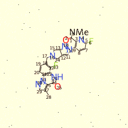 CNC(=O)c1nc(F)ccc1-n1cc2c(n1)CN(Cc1ccc3c([nH]c(=O)c4c(C)cnn43)c1F)C2